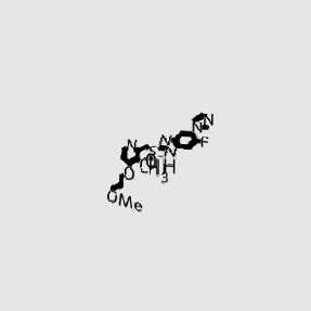 COCCCOc1ccnc(C[S+]([O-])c2nc3cc(-n4ccnc4)c(F)cc3[nH]2)c1C